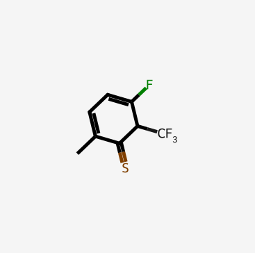 CC1=CC=C(F)C(C(F)(F)F)C1=S